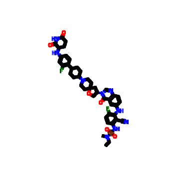 CCN(C)S(=O)(=O)Nc1ccc(F)c(Nc2ccc3ncn([C@H]4COC5(CCN(C6CCC(c7ccc(NC8CCC(=O)NC8=O)cc7F)CC6)CC5)C4)c(=O)c3c2)c1C#N